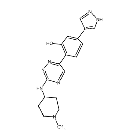 CN1CCC(Nc2ncc(-c3ccc(-c4cn[nH]c4)cc3O)nn2)CC1